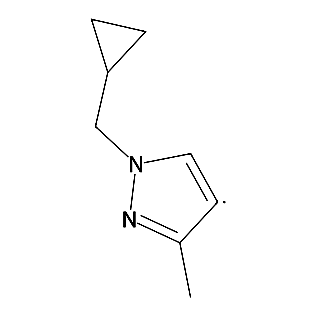 Cc1[c]cn(CC2CC2)n1